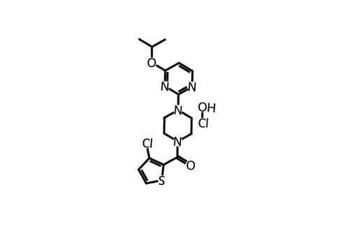 CC(C)Oc1ccnc(N2CCN(C(=O)c3sccc3Cl)CC2)n1.OCl